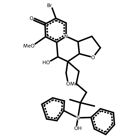 COCC1(CCCC(C)(C)[Si](O)(c2ccccc2)c2ccccc2)C(O)c2c(OC)c(=O)c(Br)cn2C2CCOC21